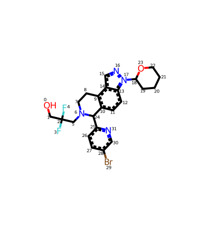 OCC(F)(F)CN1CCc2c(ccc3c2cnn3C2CCCCO2)C1c1ccc(Br)cn1